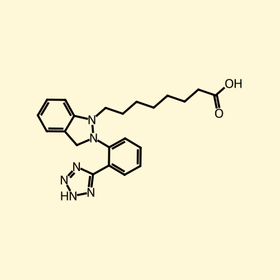 O=C(O)CCCCCCCN1c2ccccc2CN1c1ccccc1-c1nn[nH]n1